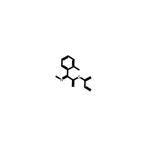 C=CC(=C)SC(=C)/C(=N/C)c1ccccc1C